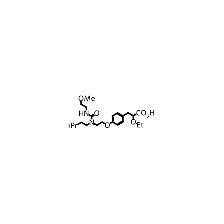 CCOC(Cc1ccc(OCCN(CCC(C)C)C(=O)NCCOC)cc1)C(=O)O